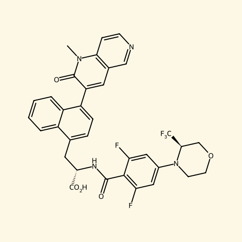 Cn1c(=O)c(-c2ccc(C[C@H](NC(=O)c3c(F)cc(N4CCOC[C@@H]4C(F)(F)F)cc3F)C(=O)O)c3ccccc23)cc2cnccc21